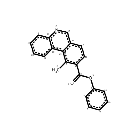 Cc1c(C(=O)Oc2ccccc2)ccc2cnc3ccccc3c12